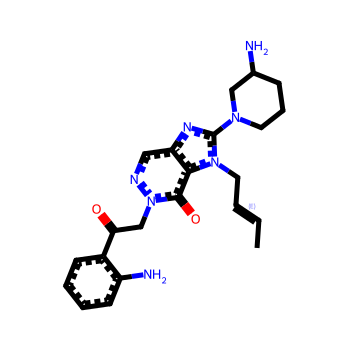 C/C=C/Cn1c(N2CCCC(N)C2)nc2cnn(CC(=O)c3ccccc3N)c(=O)c21